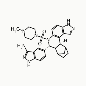 CN1CCN(S(=O)(=O)N2c3ccc4[nH]ncc4c3[C@H]3C4CCC(C4)C3[C@@H]2c2ccc3[nH]nc(N)c3c2)CC1